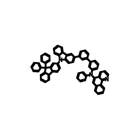 c1ccc(N(c2cccc(-c3cccc(-c4ccc5c(c4)c4ccccc4n5-c4ccc5c(c4)C(c4ccccc4)(c4ccccc4)c4ccccc4-5)c3)c2)c2cc3ccccc3c3ncccc23)cc1